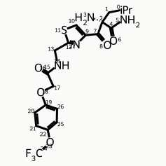 CC(C)C[C@@](N)(C(N)=O)C(=O)c1csc(CNC(=O)COc2ccc(OC(F)(F)F)cc2)n1